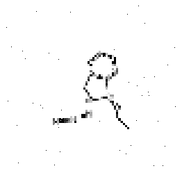 CCO[C@@H]1c2ccccc2C[C@H]1N=[N+]=[N-]